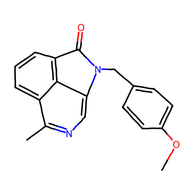 COc1ccc(CN2C(=O)c3cccc4c(C)ncc2c34)cc1